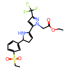 CCOC(=O)Cn1nc(C(F)(F)F)cc1C1=CCC(c2cccc(S(=O)(=O)CC)c2)N1